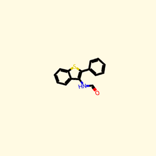 O=CNc1c(-c2ccccc2)sc2ccccc12